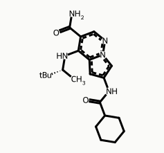 C[C@@H](Nc1c(C(N)=O)cnn2cc(NC(=O)C3CCCCC3)cc12)C(C)(C)C